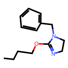 CCCCOC1=NCCN1Cc1ccccc1